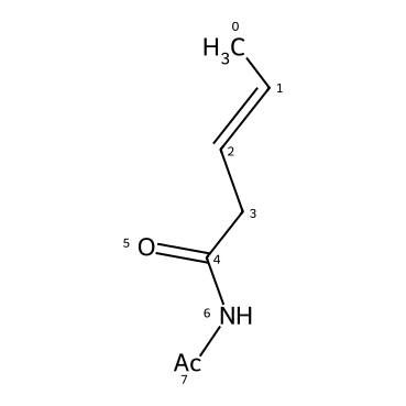 C/C=C/CC(=O)NC(C)=O